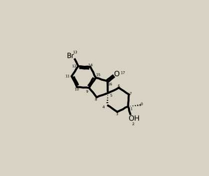 C[C@]1(O)CC[C@]2(CC1)Cc1ccc(Br)cc1C2=O